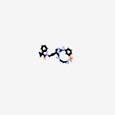 O=C(NCC#Cc1cnc2nc1NCCCNS(=O)(=O)c1cccc(c1)N2)C1(c2ccccc2)CC1